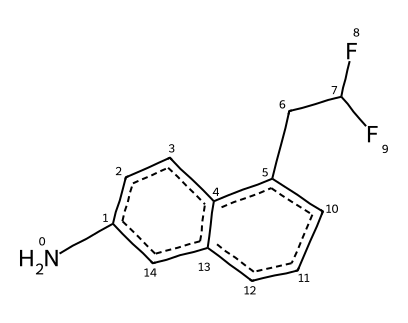 Nc1ccc2c(CC(F)F)cccc2c1